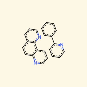 c1ccc(-c2ccccn2)cc1.c1cnc2c(c1)ccc1ncccc12